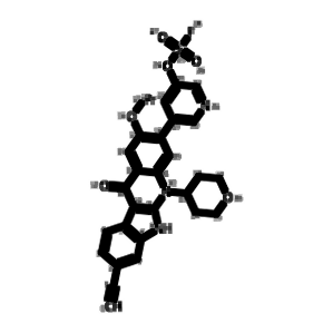 C#Cc1ccc2c(c1)[nH]c1c2c(=O)c2cc(OC(C)C)c(-c3cncc(OS(=O)(=O)F)c3)cc2n1C1CCOCC1